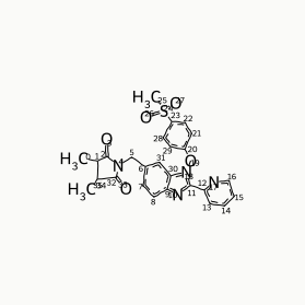 CC1C(=O)N(Cc2ccc3nc(-c4ccccn4)n(Oc4ccc(S(C)(=O)=O)cc4)c3c2)C(=O)C1C